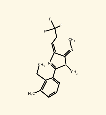 CCc1c(C)cccc1C1=NC(=C/CC(F)(F)F)/C(=N\C)N1C